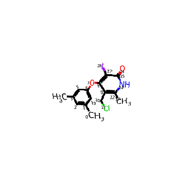 Cc1cc(C)cc(Oc2c(CCl)c(C)[nH]c(=O)c2I)c1